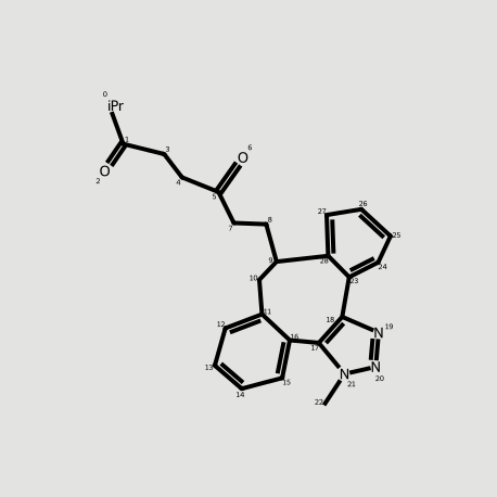 CC(C)C(=O)CCC(=O)CCC1Cc2ccccc2-c2c(nnn2C)-c2ccccc21